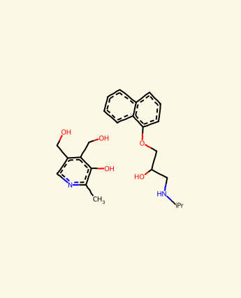 CC(C)NCC(O)COc1cccc2ccccc12.Cc1ncc(CO)c(CO)c1O